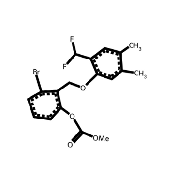 COC(=O)Oc1cccc(Br)c1COc1cc(C)c(C)cc1C(F)F